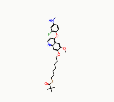 CNc1ccc(Oc2ccnc3cc(OCCCCCCCSC(=O)C(C)(C)C)c(OC)cc23)c(F)c1